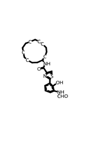 O=CNc1cccc(-c2nc(C(=O)NC3CCCCCCCCCCCCCC3)cs2)c1O